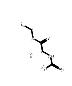 CC(=O)COC(=O)CNC(=N)N.[V]